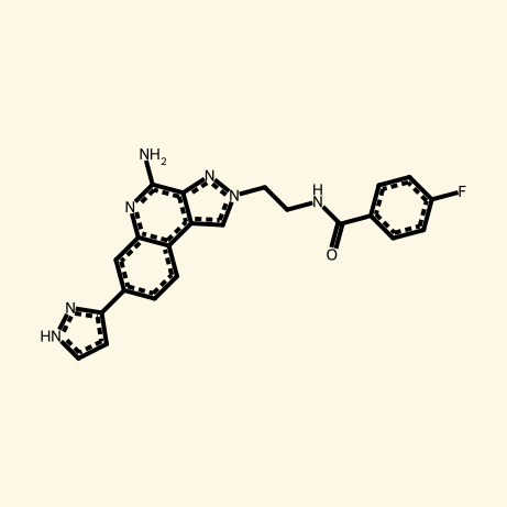 Nc1nc2cc(-c3cc[nH]n3)ccc2c2cn(CCNC(=O)c3ccc(F)cc3)nc12